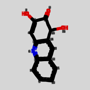 O=C1C(O)=Cc2nc3ccccc3cc2C1O